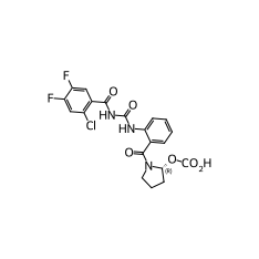 O=C(NC(=O)c1cc(F)c(F)cc1Cl)Nc1ccccc1C(=O)N1CCC[C@H]1OC(=O)O